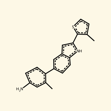 Cc1cc(N)ccc1-c1ccc2[nH]c(-c3sccc3C)cc2c1